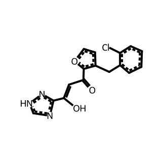 O=C(C=C(O)c1nc[nH]n1)c1occc1Cc1ccccc1Cl